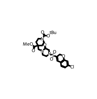 COC(=O)C1(CN2CCN(S(=O)(=O)C3=Cc4ccc(Cl)cc4OC3)CC2=O)CCN(C(=O)OC(C)(C)C)CC1